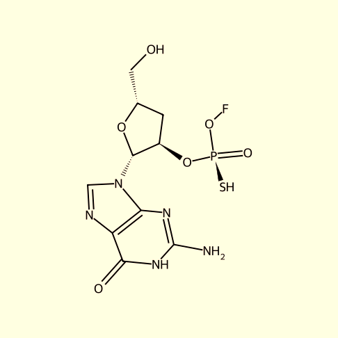 Nc1nc2c(ncn2[C@@H]2O[C@H](CO)C[C@H]2O[P@](=O)(S)OF)c(=O)[nH]1